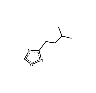 CC(C)CCc1ncon1